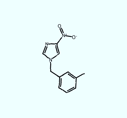 Cc1cccc(Cn2cnc([N+](=O)[O-])c2)c1